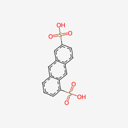 O=S(=O)(O)c1ccc2cc3c(S(=O)(=O)O)cccc3cc2c1